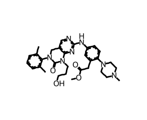 COC(=O)Cc1cc(Nc2ncc3c(n2)N(CCCO)C(=O)N(c2c(C)cccc2C)C3)ccc1N1CCN(C)CC1